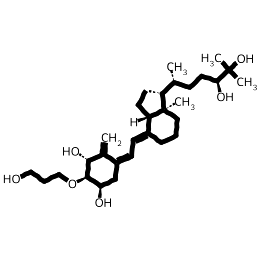 C=C1/C(=C\C=C2/CCC[C@]3(C)[C@@H]([C@H](C)CC[C@H](O)C(C)(C)O)CC[C@@H]23)C[C@@H](O)[C@@H](OCCCO)[C@@H]1O